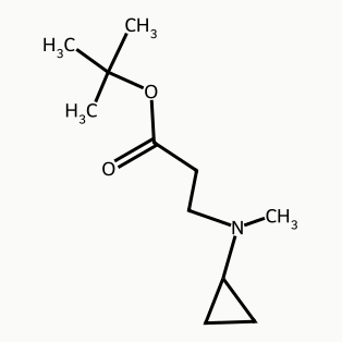 CN(CCC(=O)OC(C)(C)C)C1CC1